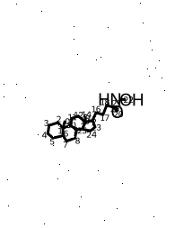 CC12CCCCC1CCC1C2CCC2(C)C(CCCC(=O)NO)CCC12